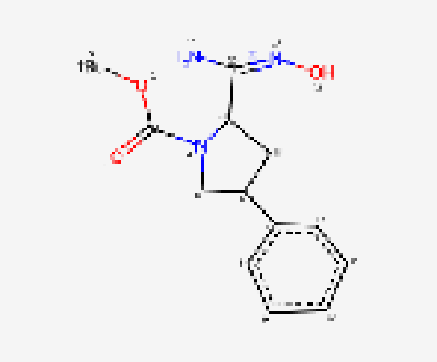 CC(C)(C)OC(=O)N1CC(c2ccccc2)CC1/C(N)=N\O